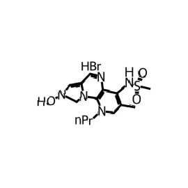 Br.CCCN1CC(C)=C(NS(C)(=O)=O)C2=C1N1CN(O)C=C1C=N2